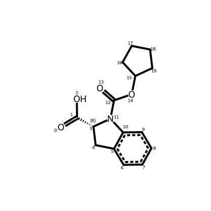 O=C(O)[C@H]1Cc2ccccc2N1C(=O)OC1CCCC1